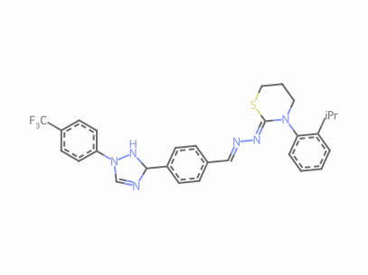 CC(C)c1ccccc1N1CCCS/C1=N\N=C\c1ccc(C2N=CN(c3ccc(C(F)(F)F)cc3)N2)cc1